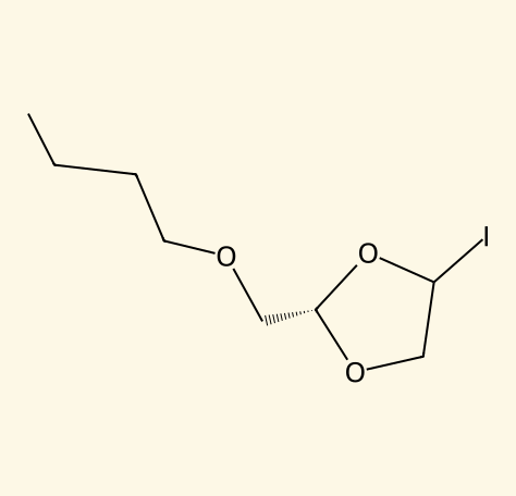 CCCCOC[C@H]1OCC(I)O1